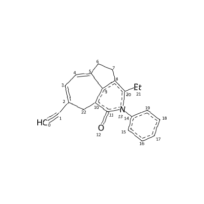 C#CC1=CC=C2CCc3c2c(c(=O)n(-c2ccccc2)c3CC)C1